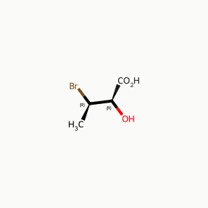 C[C@@H](Br)[C@H](O)C(=O)O